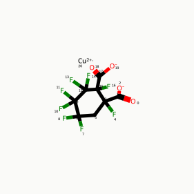 O=C([O-])C1(F)CC(F)(F)C(F)(F)C(F)(F)C1(F)C(=O)[O-].[Cu+2]